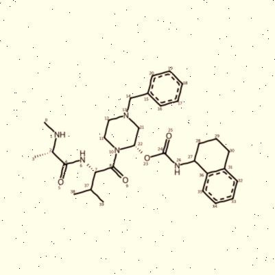 CN[C@@H](C)C(=O)N[C@H](C(=O)N1CCN(Cc2ccccc2)C[C@@H]1OC(=O)NC1CCCc2ccccc21)C(C)C